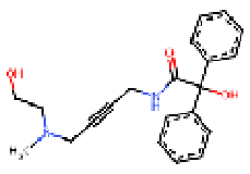 CN(CC#CCNC(=O)C(O)(c1ccccc1)c1ccccc1)CCO